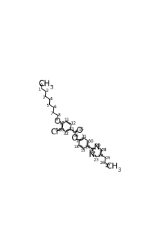 CCCCCCCCCOc1ccc(C(=O)Oc2ccc(-c3ncc(CCC)cn3)cc2)cc1Cl